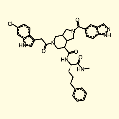 CNC(=O)[C@H](CCCc1ccccc1)NC(=O)C1CN(C(=O)Cc2c[nH]c3cc(Cl)ccc23)CC2CN(C(=O)c3ccc4[nH]ncc4c3)CC21